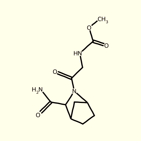 COC(=O)NCC(=O)N1C2CCC(C2)C1C(N)=O